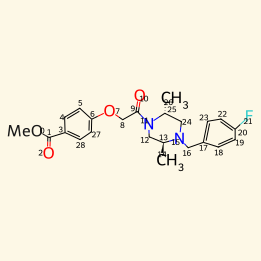 COC(=O)c1ccc(OCC(=O)N2C[C@H](C)N(Cc3ccc(F)cc3)C[C@H]2C)cc1